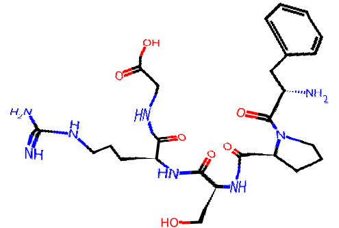 N=C(N)NCCC[C@H](NC(=O)[C@H](CO)NC(=O)[C@@H]1CCCN1C(=O)[C@@H](N)Cc1ccccc1)C(=O)NCC(=O)O